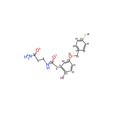 NC(=O)CCNC(=O)Cc1cc(OCc2ccc(F)cc2)ccc1I